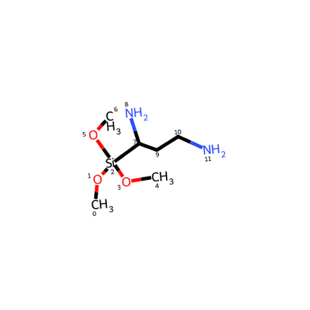 CO[Si](OC)(OC)C(N)CCN